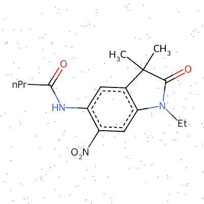 CCCC(=O)Nc1cc2c(cc1[N+](=O)[O-])N(CC)C(=O)C2(C)C